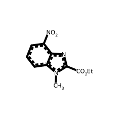 CCOC(=O)c1nc2c([N+](=O)[O-])cccc2n1C